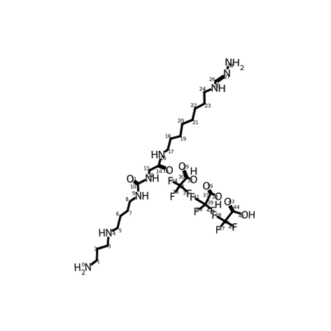 NCCCNCCCCNC(=O)NCC(=O)NCCCCCCCCNC=NN.O=C(O)C(F)(F)F.O=C(O)C(F)(F)F.O=C(O)C(F)(F)F